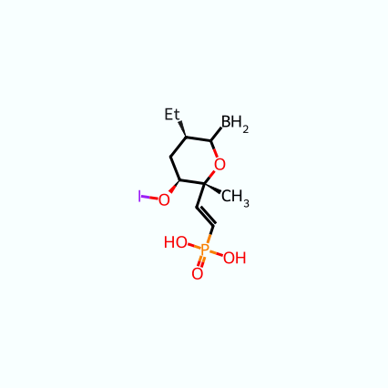 BC1O[C@](C)(/C=C/P(=O)(O)O)[C@@H](OI)C[C@H]1CC